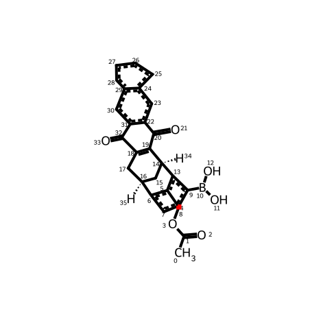 CC(=O)OCc1c2ccc(B(O)O)c1[C@H]1C[C@@H]2CC2=C1C(=O)c1cc3ccccc3cc1C2=O